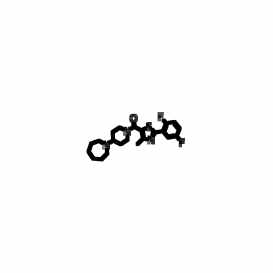 Cc1nc(-c2cc(F)ccc2F)sc1C(=O)N1CCC(N2CCCCCC2)CC1